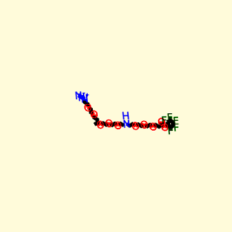 CC(CCOCCOCCN=[N+]=[N-])OCCOCCOCCNCCOCCOCCOCCC(=O)Oc1c(F)c(F)c(F)c(F)c1F